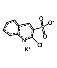 O=S(=O)([O-])c1cc2ccccc2nc1Cl.[K+]